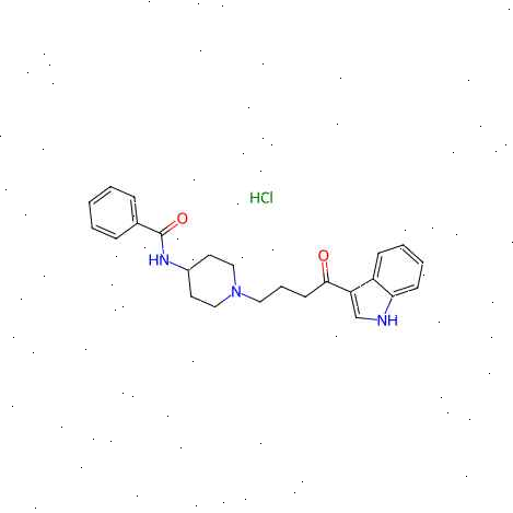 Cl.O=C(NC1CCN(CCCC(=O)c2c[nH]c3ccccc23)CC1)c1ccccc1